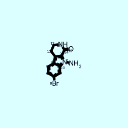 Nn1c2c(c3ccc(Br)cc31)CCNC2=O